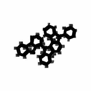 c1ccc(-n2c3ccccc3c3c2ccc2c4ccccc4n(-c4ncnc5c4sc4ccccc45)c23)cc1